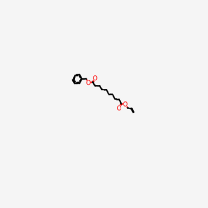 C=CCOC(=O)CCCCCCCCC(=O)OCc1ccccc1